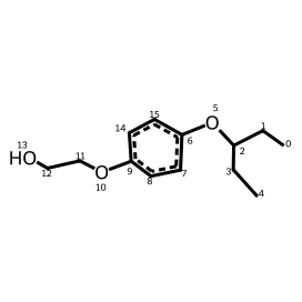 CCC(CC)Oc1ccc(OCCO)cc1